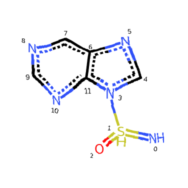 N=[SH](=O)n1cnc2cncnc21